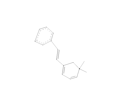 CC1(C)C=CC=C(C=Cc2ccccc2)C1